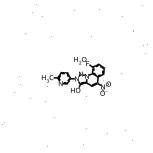 Cc1ccc(N2[N]N3C(=C2O)C=C([N+](=O)[O-])c2cccc(F)c23)cn1.O